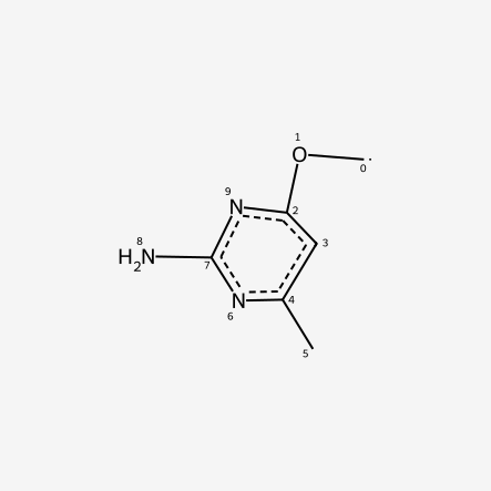 [CH2]Oc1cc(C)nc(N)n1